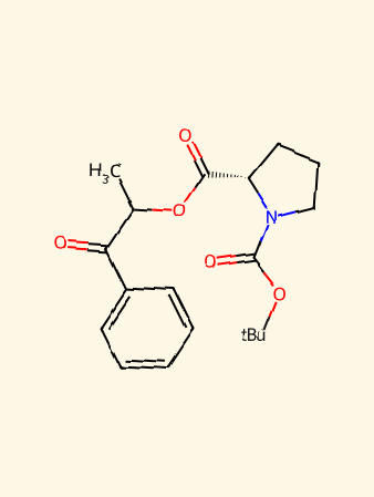 CC(OC(=O)[C@@H]1CCCN1C(=O)OC(C)(C)C)C(=O)c1ccccc1